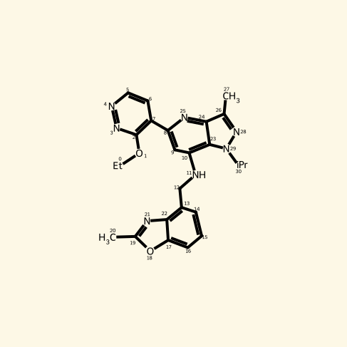 CCOc1nnccc1-c1cc(NCc2cccc3oc(C)nc23)c2c(n1)c(C)nn2C(C)C